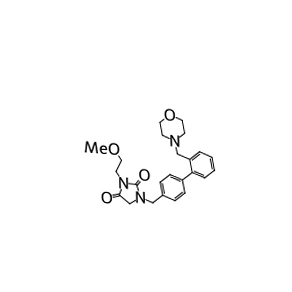 COCCN1C(=O)CN(Cc2ccc(-c3ccccc3CN3CCOCC3)cc2)C1=O